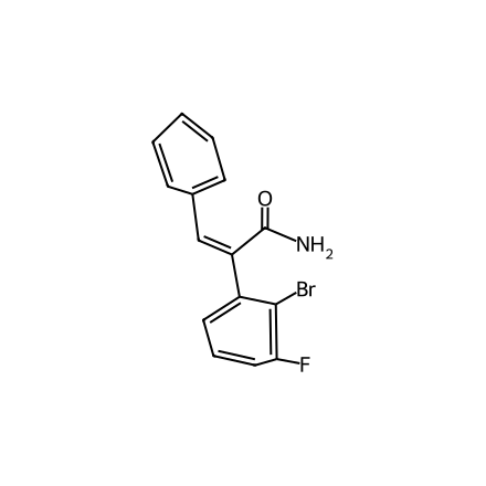 NC(=O)/C(=C\c1ccccc1)c1cccc(F)c1Br